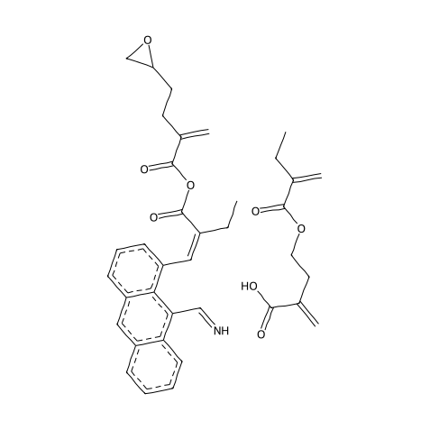 C=C(CCC1CO1)C(=O)OC(=O)C(=Cc1cccc2cc3ccccc3c(C=N)c12)CC.C=C(CCOC(=O)C(=C)CC)C(=O)O